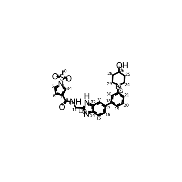 CS(=O)(=O)n1ccc(C(=O)NCc2nc3ccc(-c4cccc(N5CCC(O)CC5)c4)cc3[nH]2)c1